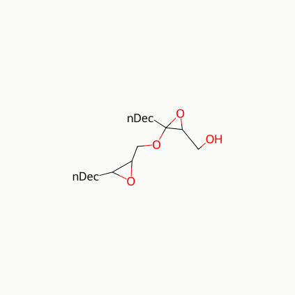 CCCCCCCCCCC1OC1COC1(CCCCCCCCCC)OC1CO